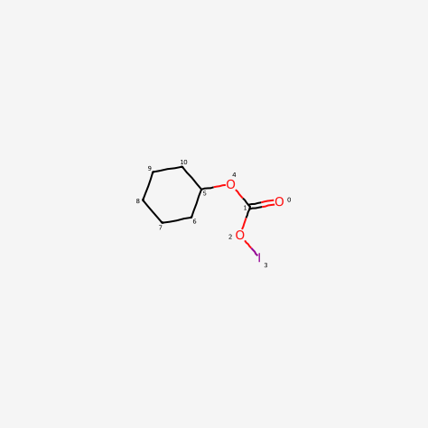 O=C(OI)OC1CCCCC1